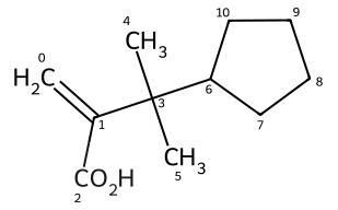 C=C(C(=O)O)C(C)(C)C1CCCC1